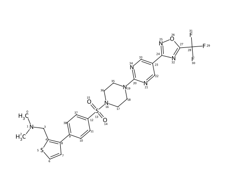 CN(C)Cc1sccc1-c1ccc(S(=O)(=O)N2CCN(c3ncc(-c4noc(C(F)(F)F)n4)cn3)CC2)cc1